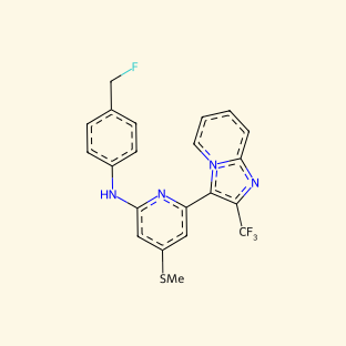 CSc1cc(Nc2ccc(CF)cc2)nc(-c2c(C(F)(F)F)nc3ccccn23)c1